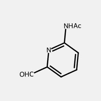 CC(=O)Nc1cccc(C=O)n1